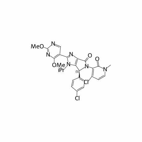 COc1ncc(-c2nc3c(n2C(C)C)[C@H](c2ccc(Cl)cc2)N(c2c(Cl)ccn(C)c2=O)C3=O)c(OC)n1